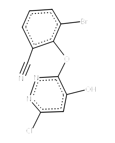 N#Cc1cccc(Br)c1Oc1nnc(Cl)cc1O